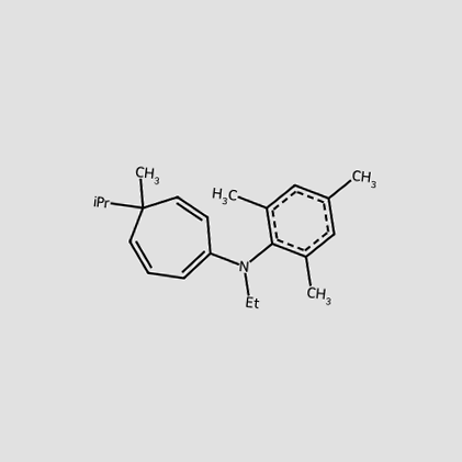 CCN(C1=CC=CC(C)(C(C)C)C=C1)c1c(C)cc(C)cc1C